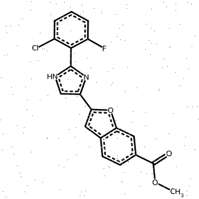 COC(=O)c1ccc2cc(-c3c[nH]c(-c4c(F)cccc4Cl)n3)oc2c1